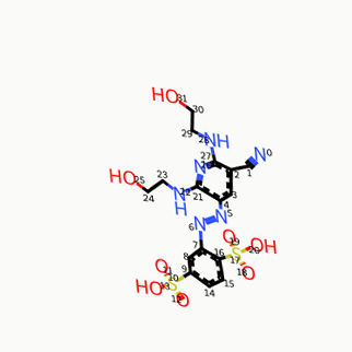 N#Cc1cc(/N=N/c2cc(S(=O)(=O)O)ccc2S(=O)(=O)O)c(NCCO)nc1NCCO